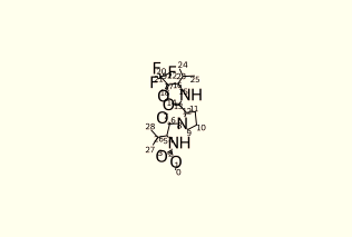 COC(=O)NC(C(=O)N1CCCC1C(=O)NC(C(=O)C(F)(F)F)C(C)C)C(C)C